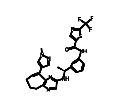 C[C@H](Nc1cnc2c(n1)C(c1cnn(C)c1)=CCCC2)c1cccc(NC(=O)c2cnc(C(F)(F)F)s2)c1